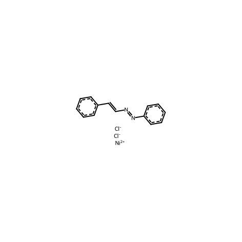 C(=Cc1ccccc1)N=Nc1ccccc1.[Cl-].[Cl-].[Ni+2]